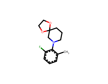 Cc1cccc(F)c1N1CCCC2(C1)OCCO2